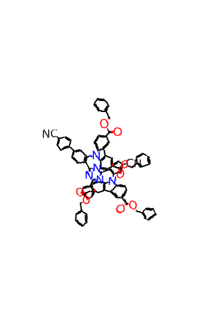 N#Cc1ccc(-c2ccc(-c3nc(-c4ccccc4)nc(-c4ccc(C#N)cc4-n4c5ccc(C(=O)OCc6ccccc6)cc5c5cc(C(=O)OCc6ccccc6)ccc54)n3)c(-n3c4ccc(C(=O)OCc5ccccc5)cc4c4cc(C(=O)OCc5ccccc5)ccc43)c2)cc1